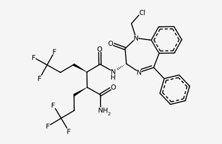 NC(=O)[C@@H](CCC(F)(F)F)[C@@H](CCC(F)(F)F)C(=O)N[C@H]1N=C(c2ccccc2)c2ccccc2N(CCl)C1=O